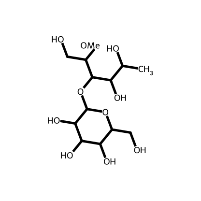 COC(CO)C(OC1OC(CO)C(O)C(O)C1O)C(O)C(C)O